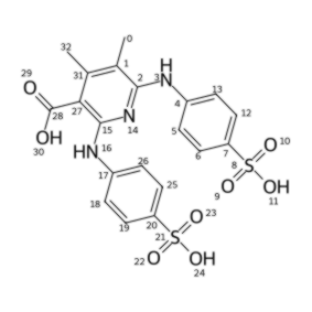 Cc1c(Nc2ccc(S(=O)(=O)O)cc2)nc(Nc2ccc(S(=O)(=O)O)cc2)c(C(=O)O)c1C